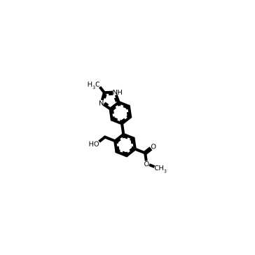 COC(=O)c1ccc(CO)c(-c2ccc3[nH]c(C)nc3c2)c1